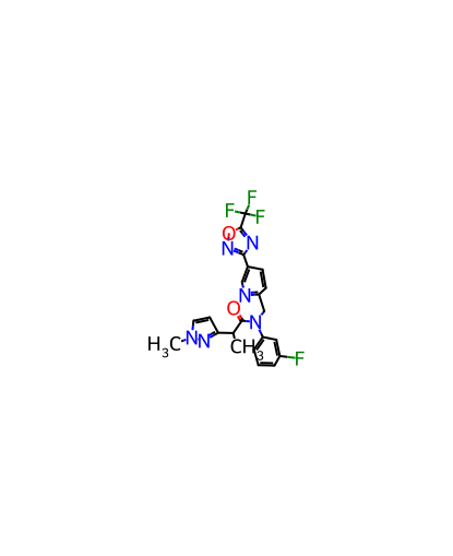 CC(C(=O)N(Cc1ccc(-c2noc(C(F)(F)F)n2)cn1)c1cccc(F)c1)c1ccn(C)n1